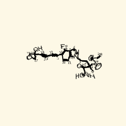 CC(CCn1ncc2c(F)c(C#CC#CC3(O)COC3)ccc21)(C(=O)NO)S(C)(=O)=O